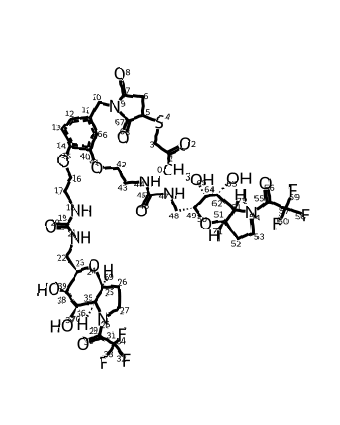 CC(=O)CSC1CC(=O)N(Cc2ccc(OCCNC(=O)NC[C@H]3O[C@H]4CCN(C(=O)C(F)(F)F)[C@H]4[C@@H](O)[C@H]3O)c(OCCNC(=O)NC[C@H]3O[C@H]4CCN(C(=O)C(F)(F)F)[C@H]4[C@@H](O)[C@H]3O)c2)C1=O